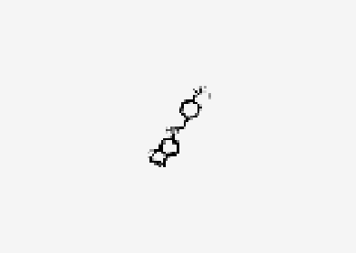 NC1CCC(CNc2ccc3ncsc3c2)CC1